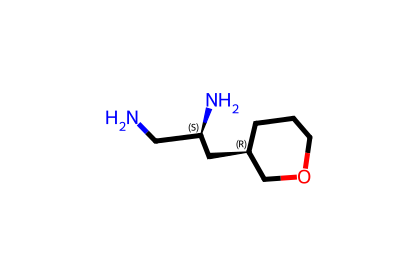 NC[C@@H](N)C[C@H]1CCCOC1